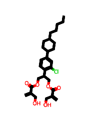 C=C(CO)C(=O)OCC(COC(=O)C(=C)CO)c1ccc(C2CCC(CCCCC)CC2)cc1Cl